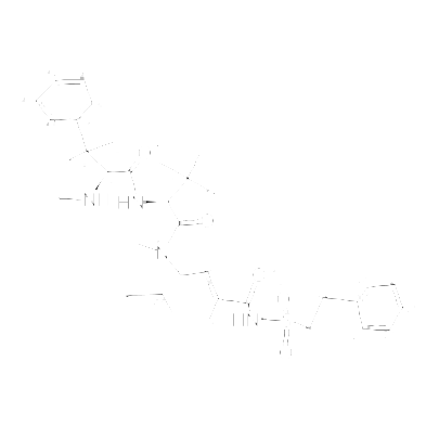 CN[C@H](C(=O)N[C@H](C(=O)N(C)[C@H](/C=C(\C)C(=O)NS(=O)(=O)CCc1ccccc1)C(C)C)C(C)(C)C)C(C)(C)c1ccccc1